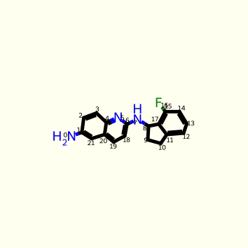 Nc1ccc2nc(NC3CCc4cccc(F)c43)ccc2c1